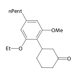 CCCCCc1cc(OC)c(C2CCCC(=O)C2)c(OCC)c1